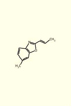 CC=Cc1nc2ccc(C)cc2o1